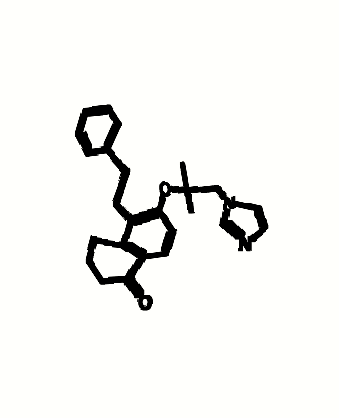 CC(C)(Cn1ccnc1)Oc1ccc2c(c1CCc1ccccc1)CCCC2=O